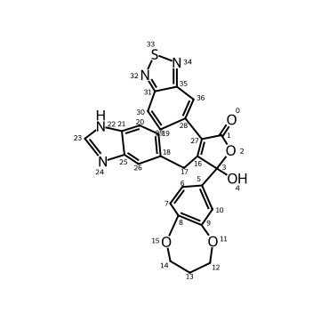 O=C1OC(O)(c2ccc3c(c2)OCCCO3)C(Cc2ccc3[nH]cnc3c2)=C1c1ccc2nsnc2c1